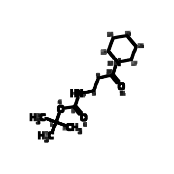 CC(C)(C)OC(=O)NCCC(=O)N1CCCCC1